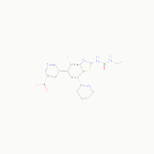 CCNC(=O)Nc1nc2c(F)c(-c3cncc(C(=O)OC)c3)cc(-c3ccccn3)c2s1